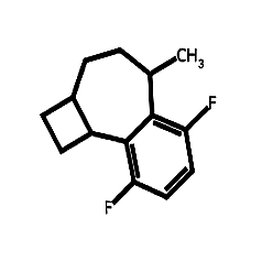 CC1CCC2CCC2c2c(F)ccc(F)c21